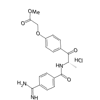 COC(=O)COc1ccc(C(=O)[C@H](C)NC(=O)c2ccc(C(=N)N)cc2)cc1.Cl